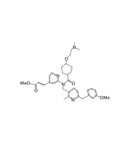 COC(=O)/C=C/c1ccnc(N(Cc2ccc(Cc3cccc(OC)c3)nc2C)C(=O)C2CCC(OCCN(C)C)CC2)c1